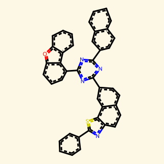 c1ccc(-c2nc3ccc4ccc(-c5nc(-c6ccc7ccccc7c6)nc(-c6cccc7oc8ccccc8c67)n5)cc4c3s2)cc1